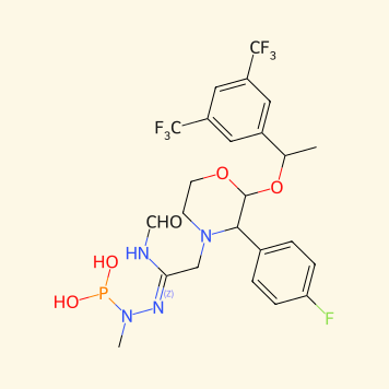 CC(OC1OCCN(C/C(=N/N(C)P(O)O)NC=O)C1c1ccc(F)cc1)c1cc(C(F)(F)F)cc(C(F)(F)F)c1